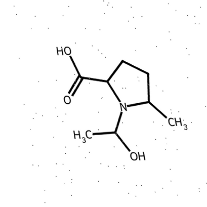 CC(O)N1C(C)CCC1C(=O)O